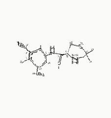 Cc1c(C(C)(C)C)cc(NC(=O)[C@H]2CSC(C)(C)N2)cc1C(C)(C)C